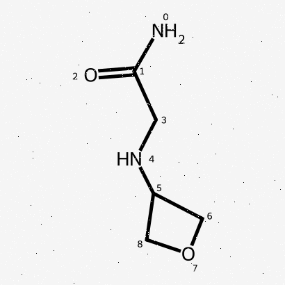 NC(=O)CNC1COC1